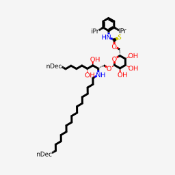 CCCCCCCCCCCCCCCCCCCCCCCCCCN[C@@H](CO[C@@H]1O[C@H](COC(=S)Nc2c(C(C)C)cccc2C(C)C)[C@H](O)[C@H](O)[C@H]1O)[C@H](O)[C@H](O)CCCCCCCCCCCCCC